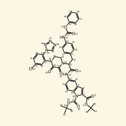 CC(C)(C)OC(=O)c1cc2cc(NC(=O)C(Cc3ccc(NC(=O)Oc4ccccc4)cc3)N3CCN(c4cc(Cl)ccc4-n4cnnn4)C(=O)C3=O)ccc2n1C(=O)OC(C)(C)C